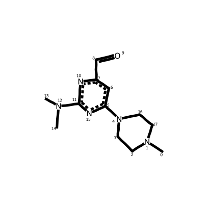 CN1CCN(c2cc(C=O)nc(N(C)C)n2)CC1